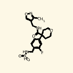 Cc1nocc1CNC(=O)C1(c2ccc(CN[SH](=O)=O)c(F)c2)CCOCC1